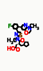 CN1CCOc2cc(-c3ccc(F)cc3-c3csc(N(C)C(=O)[C@@H](CC(=O)O)CC4CCCC4)n3)cnc21